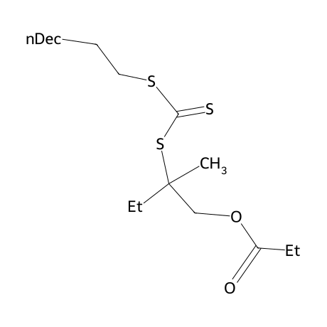 CCCCCCCCCCCCSC(=S)SC(C)(CC)COC(=O)CC